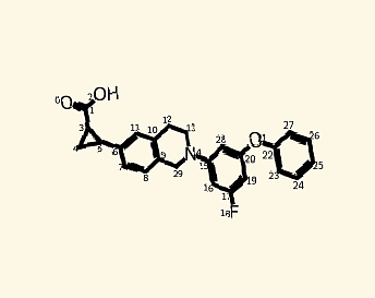 O=C(O)C1CC1c1ccc2c(c1)CCN(c1cc(F)cc(Oc3ccccc3)c1)C2